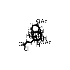 CCC[C@@H]1[C@H]2C(CCC(=O)Cl)[C@H]1[C@H](OC(C)=O)C[C@@H]1C[C@H](OC(C)=O)CC[C@@H]12